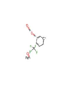 C1=C[CH+]CC=C1.F[B-](F)(F)F.[C]=O.[C]=O.[C]=O.[Fe]